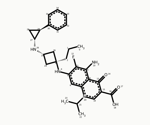 CCC[C@]1(Nc2cc3c(c(N)c2F)c(=O)c(C(=O)O)cn3C(C)C)C[C@H](N[C@@H]2C[C@H]2c2ccccc2)C1